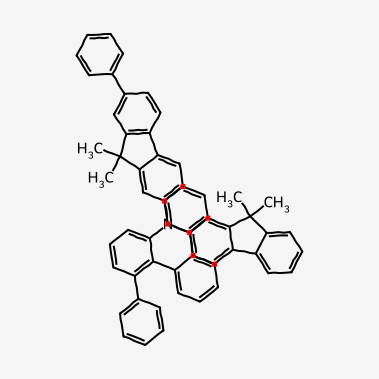 CC1(C)c2ccccc2-c2ccc(N(c3ccc4c(c3)C(C)(C)c3cc(-c5ccccc5)ccc3-4)c3cccc(-c4ccccc4)c3-c3ccccc3-c3ccccc3)cc21